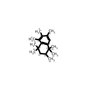 Cc1cc2c(c(C)c1C)C(C)(C)CC(C)C2(C)C